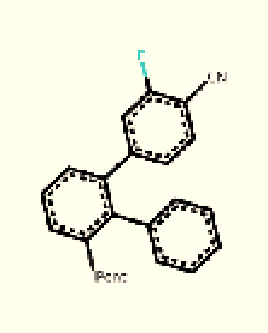 CCCC(C)c1cccc(-c2ccc(C#N)c(F)c2)c1-c1ccccc1